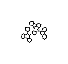 c1ccc(-c2c(-c3ccc(N(c4cc5ccccc5c5ccccc45)c4cccc5c4sc4ccccc45)cc3)c3ccccc3c3ccccc23)cc1